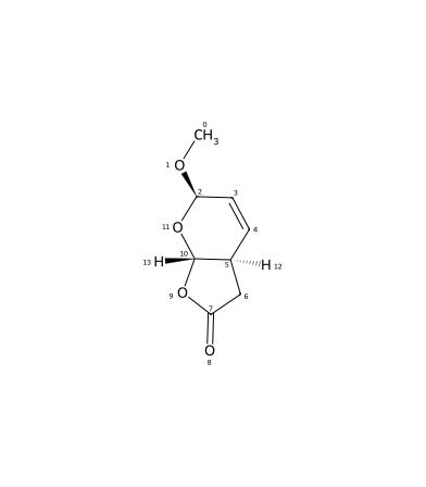 CO[C@H]1C=C[C@H]2CC(=O)O[C@@H]2O1